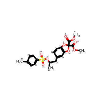 COC(=O)C1(C(=O)OC)Oc2ccc(CC(C)OS(=O)(=O)c3ccc(C)cc3)cc2O1